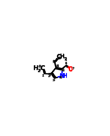 C=Cc1c[nH]c(C=O)c1C=C